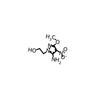 COc1nn(CCO)c(N)c1[N+](=O)[O-]